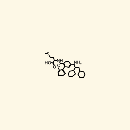 CSCCC(NC(=O)c1ccc(C(N)C(CC2CCCCC2)C2CCCCC2)cc1-c1ccccc1C)C(=O)O